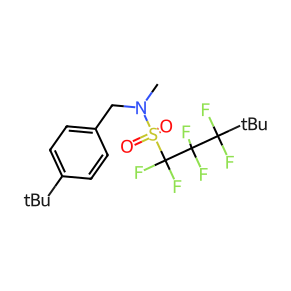 CN(Cc1ccc(C(C)(C)C)cc1)S(=O)(=O)C(F)(F)C(F)(F)C(F)(F)C(C)(C)C